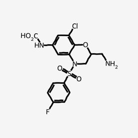 NCC1CN(S(=O)(=O)c2ccc(F)cc2)c2cc(NC(=O)O)cc(Cl)c2O1